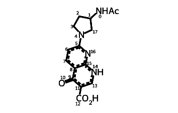 CC(=O)NC1CCN(c2ccc3c(=O)c(C(=O)O)c[nH]c3n2)C1